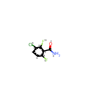 NC(=O)c1c(F)ccc(Cl)c1F